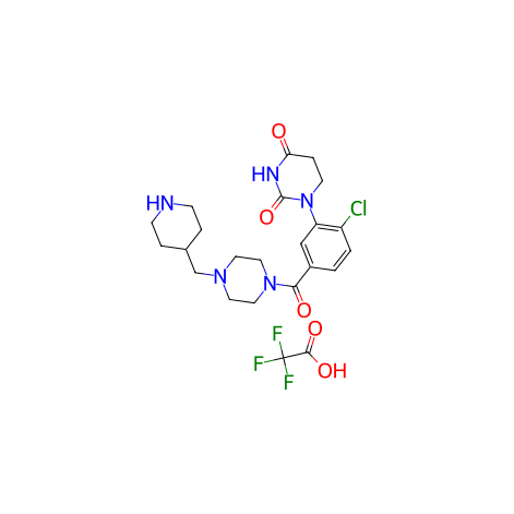 O=C(O)C(F)(F)F.O=C1CCN(c2cc(C(=O)N3CCN(CC4CCNCC4)CC3)ccc2Cl)C(=O)N1